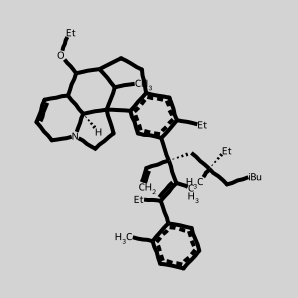 C=C[C@](C[C@@](C)(CC)CC(C)CC)(/C(C)=C(\CC)c1ccccc1C)c1cc2c(cc1CC)CCC1C(OCC)C3C=CCN4CCC2(C1C)[C@H]34